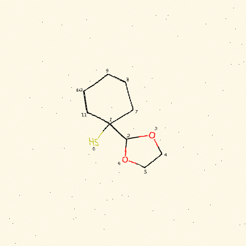 SC1(C2OCCO2)CCCCC1